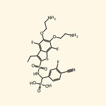 CCc1c(S(=O)(=O)NC(c2ccc(C#N)c(F)c2)P(=O)(O)O)sc2c(F)c(OCCN)c(OCCN)c(F)c12